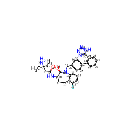 CC(C)(N)CC(=O)N[C@@H]1CCc2c(F)cccc2N(Cc2ccc(-c3ccccc3-c3nnn[nH]3)cc2)C1=O